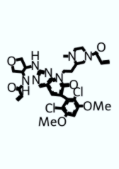 C=CC(=O)NC1COCC1Nc1ncc2cc(-c3c(Cl)c(OC)cc(OC)c3Cl)c(=O)n(CCC3CN(C(=O)C=C)CCN3C)c2n1